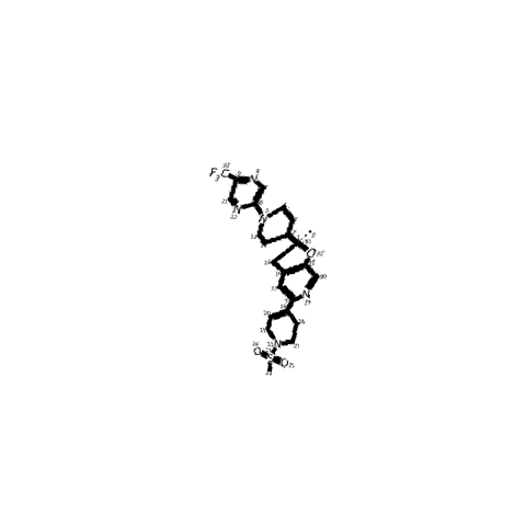 C[C@@]1(C2CCN(c3cnc(C(F)(F)F)cn3)CC2)Cc2cc(C3=CCN(S(C)(=O)=O)CC3)ncc2O1